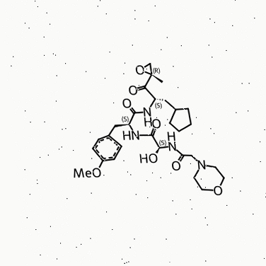 COc1ccc(C[C@H](NC(=O)[C@H](O)NC(=O)CN2CCOCC2)C(=O)N[C@@H](CC2CCCC2)C(=O)[C@@]2(C)CO2)cc1